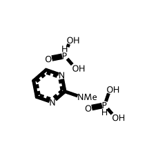 CNc1ncccn1.O=[PH](O)O.O=[PH](O)O